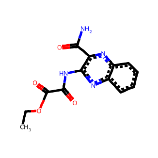 CCOC(=O)C(=O)Nc1nc2ccccc2nc1C(N)=O